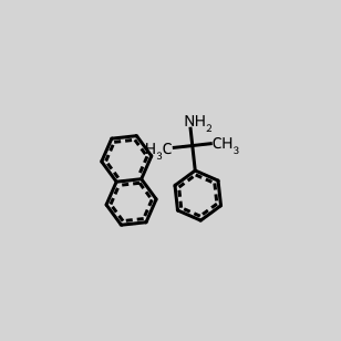 CC(C)(N)c1ccccc1.c1ccc2ccccc2c1